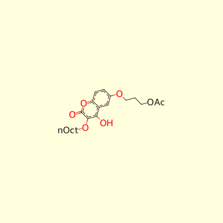 CCCCCCCCOc1c(O)c2cc(OCCCOC(C)=O)ccc2oc1=O